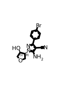 N#Cc1c(-c2ccc(Br)cc2)nn([C@@H]2COC[C@H]2O)c1N